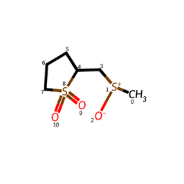 C[S+]([O-])CC1CCCS1(=O)=O